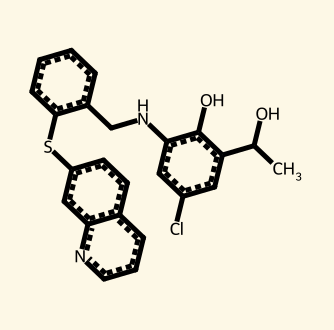 CC(O)c1cc(Cl)cc(NCc2ccccc2Sc2ccc3cccnc3c2)c1O